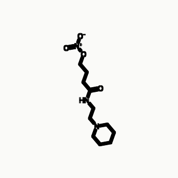 O=C(CCCO[N+](=O)[O-])NCCN1CCCCC1